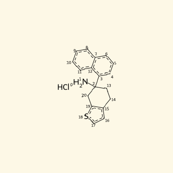 Cl.NC1(c2cccc3ccccc23)CCc2ccsc2C1